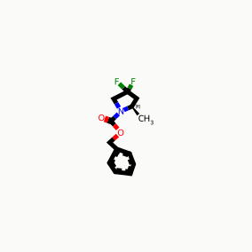 C[C@@H]1CC(F)(F)CN1C(=O)OCc1ccccc1